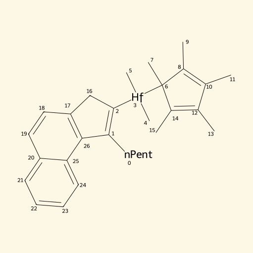 CCCCCC1=[C]([Hf]([CH3])([CH3])[C]2(C)C(C)=C(C)C(C)=C2C)Cc2ccc3ccccc3c21